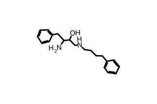 NC(Cc1ccccc1)C(O)CNCCCCc1ccccc1